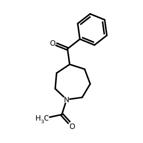 CC(=O)N1CCCC(C(=O)c2ccccc2)CC1